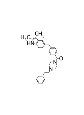 Cc1[nH]c2ccc(Cc3ccc(C(=O)N4CCN(CCc5ccccc5)CC4)cc3)cc2c1C